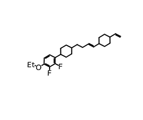 C=CC1CCC(C=CCCC2CCC(c3ccc(OCC)c(F)c3F)CC2)CC1